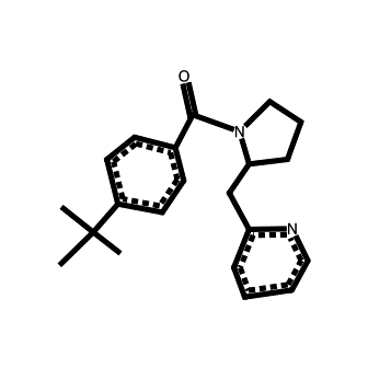 CC(C)(C)c1ccc(C(=O)N2CCCC2Cc2ccccn2)cc1